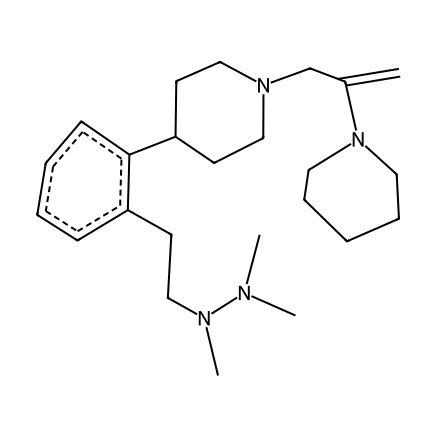 C=C(CN1CCC(c2ccccc2CCN(C)N(C)C)CC1)N1CCCCC1